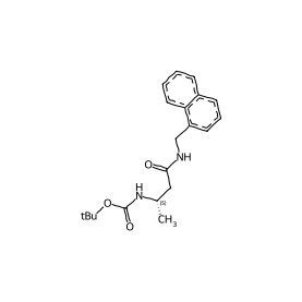 C[C@@H](CC(=O)NCc1cccc2ccccc12)NC(=O)OC(C)(C)C